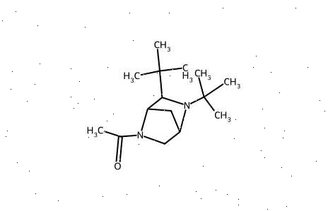 CC(=O)N1CC2CC1C(C(C)(C)C)N2C(C)(C)C